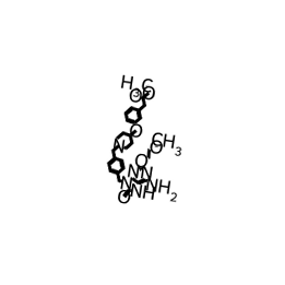 COCCOc1nc(N)c2[nH]c(=O)n(Cc3ccc(CN4CCC(Oc5cccc(CC(=O)OC)c5)CC4)cc3)c2n1